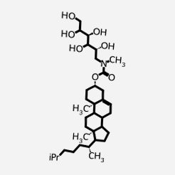 CC(C)CCC[C@@H](C)C1CCC2C3CC=C4C[C@@H](OC(=O)N(C)C[C@@H](O)C(O)[C@H](O)C(O)CO)CC[C@]4(C)C3CC[C@@]21C